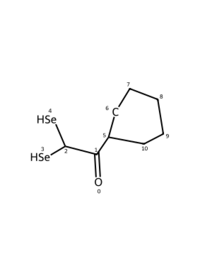 O=C(C([SeH])[SeH])C1CCCCC1